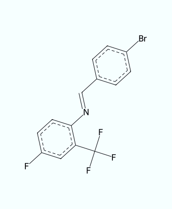 Fc1ccc(N=Cc2ccc(Br)cc2)c(C(F)(F)F)c1